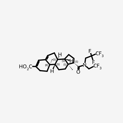 C[C@]12CC[C@H]3[C@@H](CC=C4C=C(C(=O)O)CC[C@@]43C)[C@@H]1CC[C@@H]2C(=O)N(CC(F)(F)F)CC(F)(F)C(F)(F)F